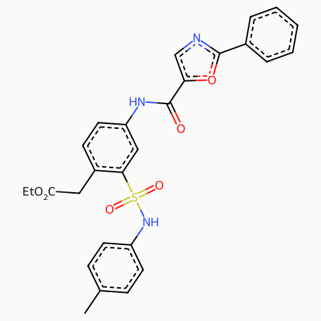 CCOC(=O)Cc1ccc(NC(=O)c2cnc(-c3ccccc3)o2)cc1S(=O)(=O)Nc1ccc(C)cc1